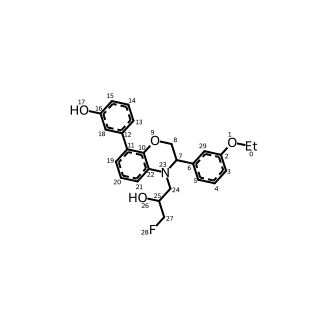 CCOc1cccc(C2COc3c(-c4cccc(O)c4)cccc3N2CC(O)CF)c1